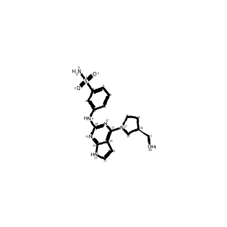 NS(=O)(=O)c1cccc(Nc2nc(N3CC[C@@H](CO)C3)c3cc[nH]c3n2)c1